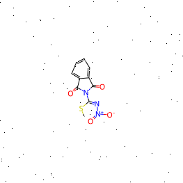 CS/C(=N\[N+](=O)[O-])N1C(=O)c2ccccc2C1=O